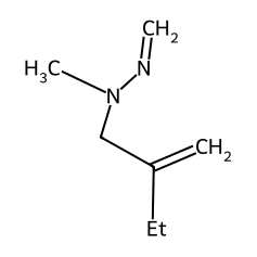 C=NN(C)CC(=C)CC